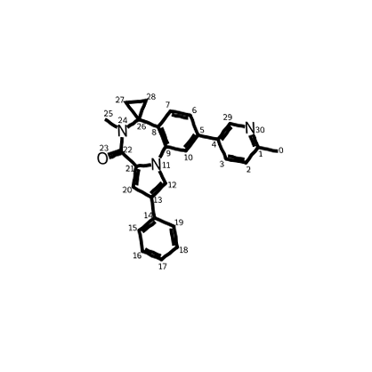 Cc1ccc(-c2ccc3c(c2)-n2cc(-c4ccccc4)cc2C(=O)N(C)C32CC2)cn1